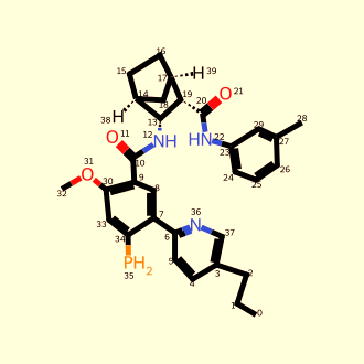 CCCc1ccc(-c2cc(C(=O)N[C@@H]3[C@H]4CC[C@H](C4)[C@@H]3C(=O)Nc3cccc(C)c3)c(OC)cc2P)nc1